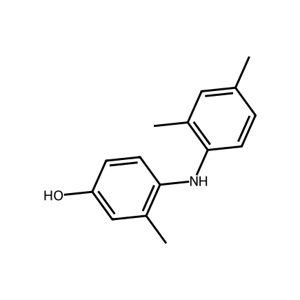 Cc1ccc(Nc2ccc(O)cc2C)c(C)c1